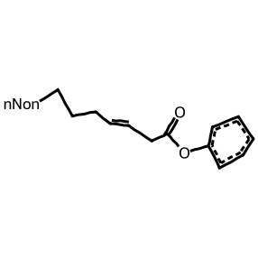 CCCCCCCCCCCC/C=C/CC(=O)Oc1ccccc1